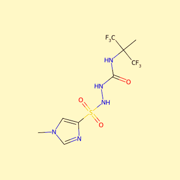 Cn1cnc(S(=O)(=O)NNC(=O)NC(C)(C(F)(F)F)C(F)(F)F)c1